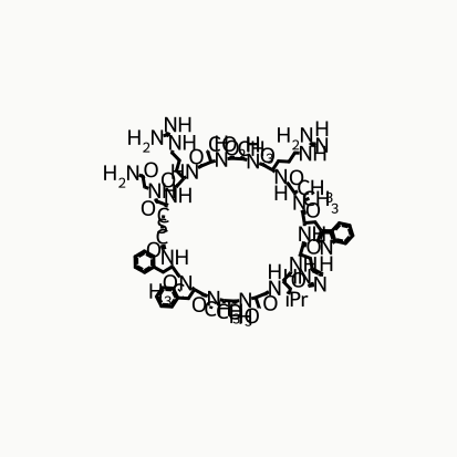 CC(C)CC1NC(=O)C(CO)NC(=O)C(C)N(C)C(=O)C(Cc2ccccc2)N(C)C(=O)C(Cc2ccccc2)NC(=O)CSCC(C(=O)NCC(N)=O)NC(=O)C(CCCNC(=N)N)NC(=O)C(CC(=O)O)NC(=O)C(C)NC(=O)C(CCCNC(=N)N)NC(=O)C(C)N(C)C(=O)C(Cc2c[nH]c3ccccc23)NC(=O)C(Cc2cnc[nH]2)NC1=O